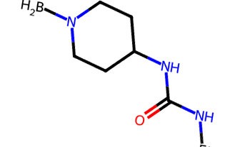 BN1CCC(NC(=O)NCC)CC1